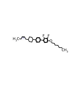 CC/C=C\CC1CCC(c2ccc(-c3ccc(OCCCCCCC)c(F)c3F)cc2)CC1